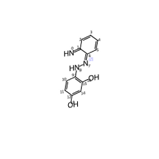 N=C1C=CC=C/C1=N/Nc1ccc(O)cc1O